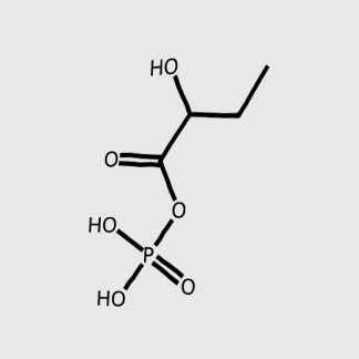 CCC(O)C(=O)OP(=O)(O)O